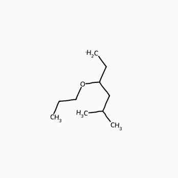 [CH2]CC(CC(C)C)OCCC